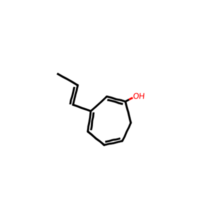 CC=CC1=CC=CCC(O)=C1